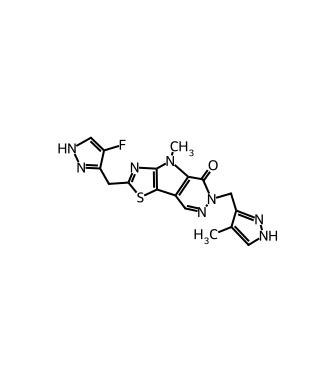 Cc1c[nH]nc1Cn1ncc2c3sc(Cc4n[nH]cc4F)nc3n(C)c2c1=O